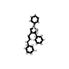 C(=C\c1cn(-c2ccccc2)nc1-c1ccccc1)/Cc1ccccc1